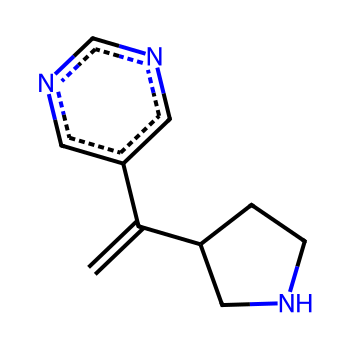 C=C(c1cncnc1)C1CCNC1